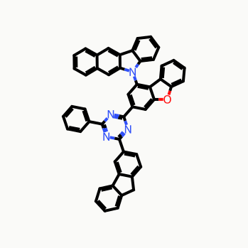 c1ccc(-c2nc(-c3ccc4c(c3)-c3ccccc3C4)nc(-c3cc(-n4c5ccccc5c5cc6ccccc6cc54)c4c(c3)oc3ccccc34)n2)cc1